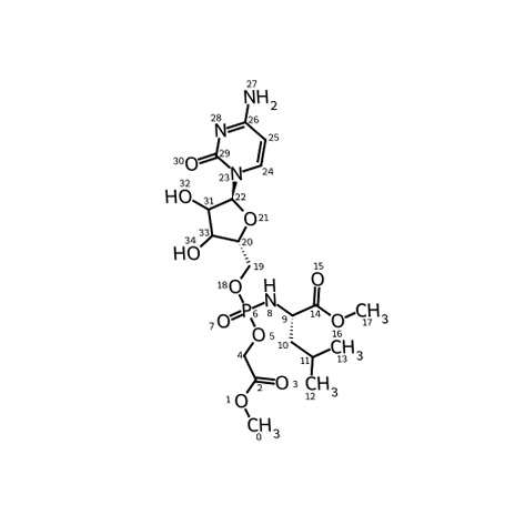 COC(=O)COP(=O)(N[C@@H](CC(C)C)C(=O)OC)OC[C@H]1O[C@H](n2ccc(N)nc2=O)C(O)C1O